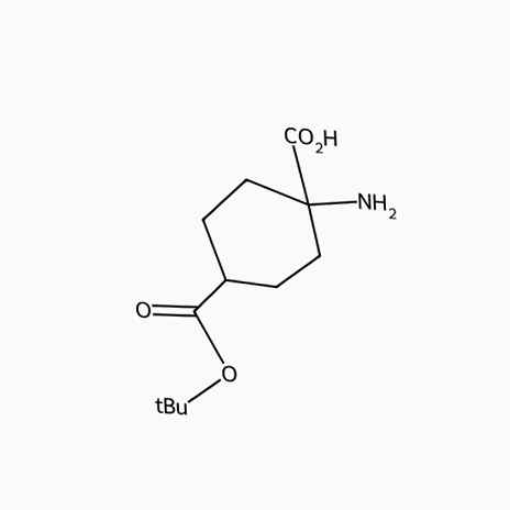 CC(C)(C)OC(=O)C1CCC(N)(C(=O)O)CC1